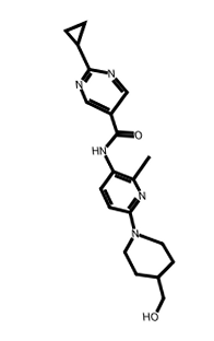 Cc1nc(N2CCC(CO)CC2)ccc1NC(=O)c1cnc(C2CC2)nc1